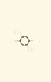 CCCc1cc(Cl)c(C(C)CC)cc1O